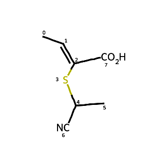 C/C=C(\SC(C)C#N)C(=O)O